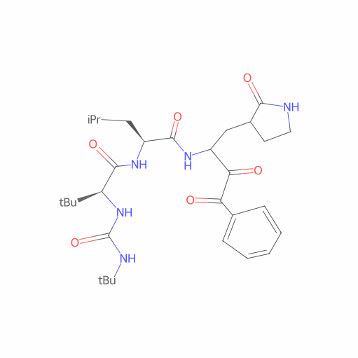 CC(C)C[C@H](NC(=O)[C@@H](NC(=O)NC(C)(C)C)C(C)(C)C)C(=O)NC(CC1CCNC1=O)C(=O)C(=O)c1ccccc1